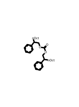 CCCCCCCCC(COC(=O)OCC(CCCCCCCC)c1ccccc1)c1ccccc1